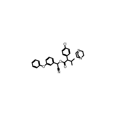 C1CN2CCN1CC2.CC(C)C(C(=O)OC(C#N)c1cccc(Oc2ccccc2)c1)c1ccc(Cl)cc1